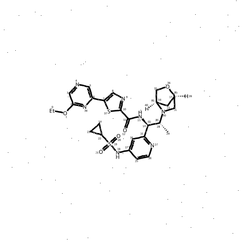 CCOc1cncc(-c2cnc(C(=O)N[C@H](c3cc(NS(=O)(=O)C4CC4)ccn3)[C@@H](C)N3C[C@H]4C[C@@H]3CO4)s2)n1